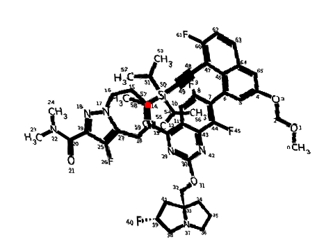 COCOc1cc(-c2c(F)cc3c(N4CCCn5nc(C(=O)N(C)C)c(F)c5C4)nc(OC[C@@]45CCCN4C[C@H](F)C5)nc3c2F)c2c(C#C[Si](C(C)C)(C(C)C)C(C)C)c(F)ccc2c1